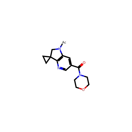 CC(=O)N1CC2(CC2)c2ncc(C(=O)N3CCOCC3)cc21